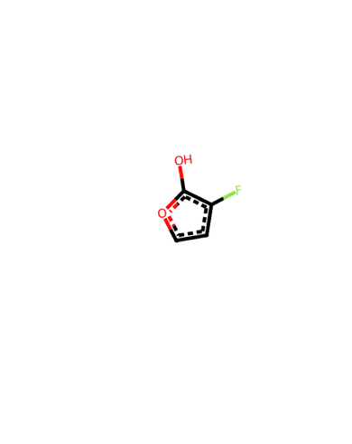 Oc1occc1F